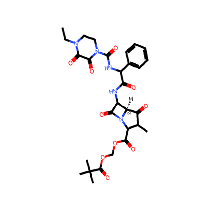 CCN1CCN(C(=O)NC(C(=O)NC2C(=O)N3C(C(=O)OCOC(=O)C(C)(C)C)C(C)C(=O)[C@H]23)c2ccccc2)C(=O)C1=O